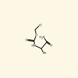 CC(C)C(NC(=O)OCCl)C(N)=O